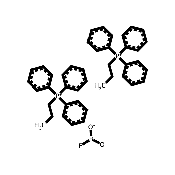 CCC[P+](c1ccccc1)(c1ccccc1)c1ccccc1.CCC[P+](c1ccccc1)(c1ccccc1)c1ccccc1.[O-]B([O-])F